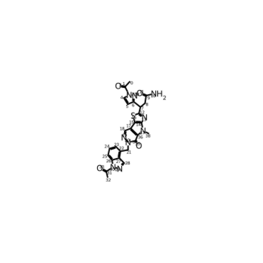 CC(=O)n1ccc(C(CC(N)=O)c2nc3c(s2)c2cnn(Cc4cccc5c4cnn5C(C)=O)c(=O)c2n3C)n1